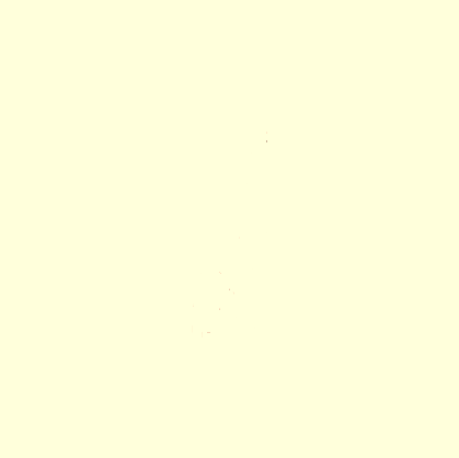 CC(C)(C)N(C(=O)O)C1(c2ccc(C#Cc3ccccc3)cc2)CCC1